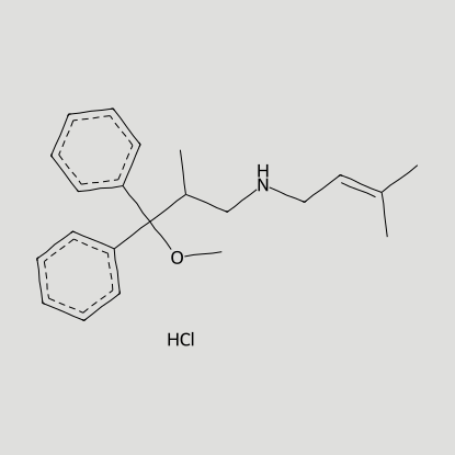 COC(c1ccccc1)(c1ccccc1)C(C)CNCC=C(C)C.Cl